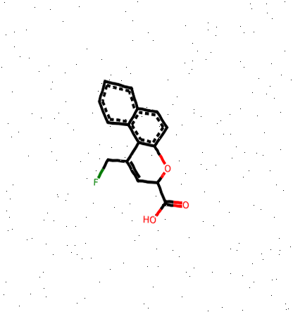 O=C(O)C1C=C(CF)c2c(ccc3ccccc23)O1